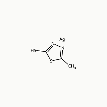 Cc1nnc(S)s1.[Ag]